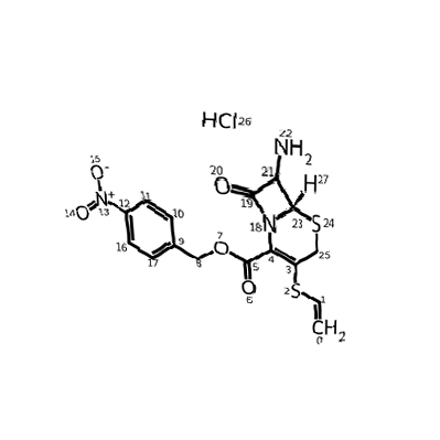 C=CSC1=C(C(=O)OCc2ccc([N+](=O)[O-])cc2)N2C(=O)C(N)[C@@H]2SC1.Cl